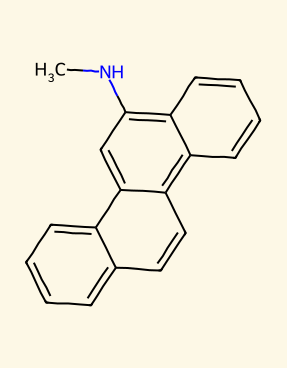 CNc1cc2c3ccccc3ccc2c2ccccc12